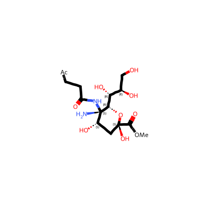 COC(=O)[C@]1(O)C[C@H](O)[C@](N)(NC(=O)CCC(C)=O)[C@H]([C@H](O)[C@H](O)CO)O1